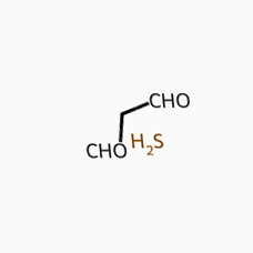 O=CCC=O.S